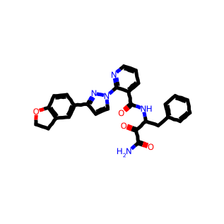 NC(=O)C(=O)C(Cc1ccccc1)NC(=O)c1cccnc1-n1ccc(-c2ccc3c(c2)CCO3)n1